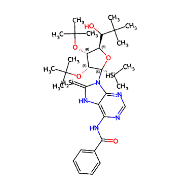 C[SiH](C)[C@@]1(N2C(=[SiH2])Nc3c(NC(=O)c4ccccc4)ncnc32)O[C@H](C(O)C(C)(C)C)[C@@H](OC(C)(C)C)[C@H]1OC(C)(C)C